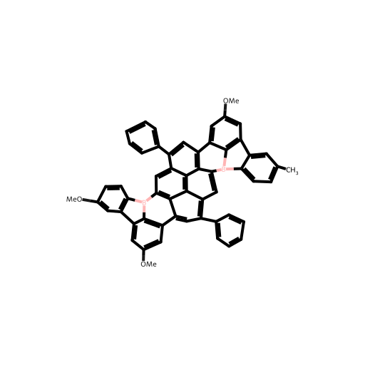 COc1ccc2c(c1)-c1cc(OC)cc3c1B2c1cc2c(-c4ccccc4)cc4c5c(cc6c(-c7ccccc7)cc-3c1c6c25)B1c2ccc(C)cc2-c2cc(OC)cc-4c21